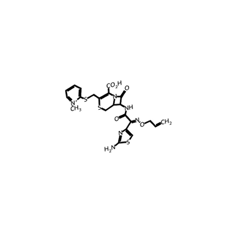 C=CCON=C(C(=O)NC1C(=O)N2C(C(=O)O)=C(CSc3cccc[n+]3C)SCC12)c1csc(N)n1